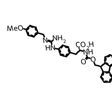 COc1ccc(C/N=C(\N)Nc2ccc(C[C@H](NC(=O)OCC3c4ccccc4-c4ccccc43)C(=O)O)cc2)cc1